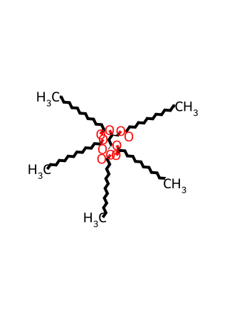 CCCCCCCCCCCCC(=O)OC[C@H](OC(=O)CCCCCCCCCCCC)[C@@H](OC(=O)CCCCCCCCCCCC)[C@@H](COC(=O)CCCCCCCCCCCC)OC(=O)CCCCCCCCCCCC